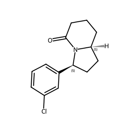 O=C1CCC[C@H]2CC[C@@H](c3cccc(Cl)c3)N12